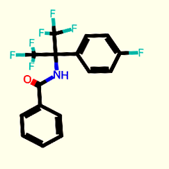 O=C(NC(c1ccc(F)cc1)(C(F)(F)F)C(F)(F)F)c1ccccc1